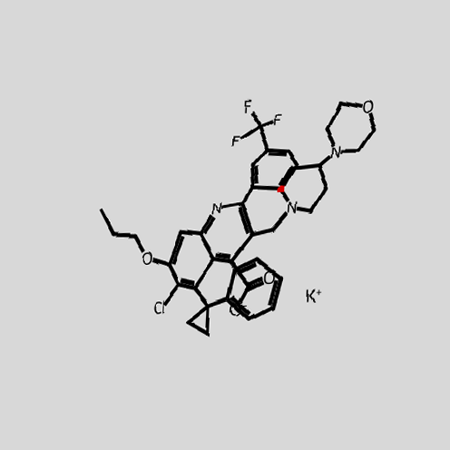 CCCOc1cc2nc(-c3cccc(C(F)(F)F)c3)c(CN3CCC(N4CCOCC4)CC3)c(C(=O)[O-])c2c(C2(c3ccccc3)CC2)c1Cl.[K+]